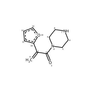 C=C(C(=O)N1CCNCC1)c1ccco1